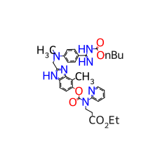 CCCCOC(=O)NC(=N)c1ccc(N(C)Cc2nc3c(C)c(OC(=O)N(CCC(=O)OCC)c4ccccn4)ccc3[nH]2)cc1